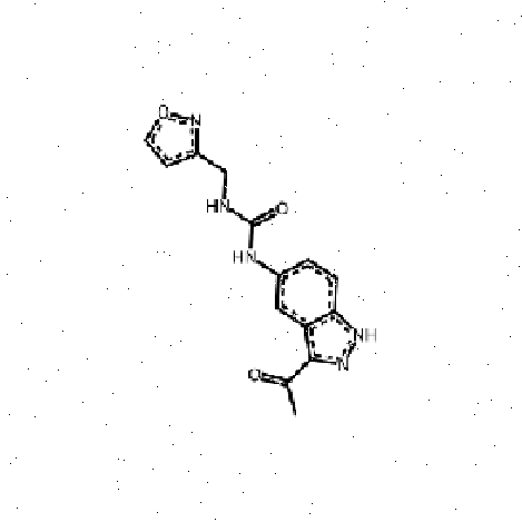 CC(=O)c1n[nH]c2ccc(NC(=O)NCc3ccon3)cc12